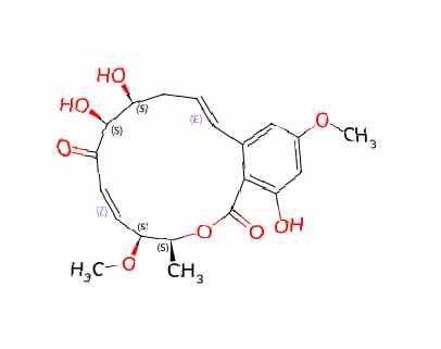 COc1cc(O)c2c(c1)/C=C/C[C@H](O)[C@H](O)C(=O)/C=C\[C@H](OC)[C@H](C)OC2=O